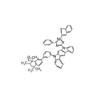 CC1CC(C)(C)c2ccc(-c3cccc(-n4c5ccccc5c5cc6c7ccccc7n(-c7nc(-c8ccccc8)nc(-c8ccc9ccccc9c8)n7)c6cc54)c3)cc2C1(C)C